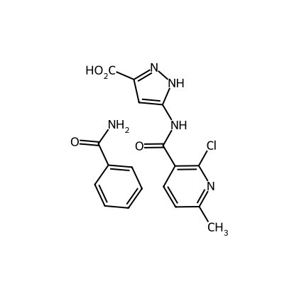 Cc1ccc(C(=O)Nc2cc(C(=O)O)n[nH]2)c(Cl)n1.NC(=O)c1ccccc1